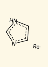 [Re].c1c[nH]cn1